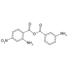 Nc1cccc(C(=O)OC(=O)c2ccc([N+](=O)[O-])cc2N)c1